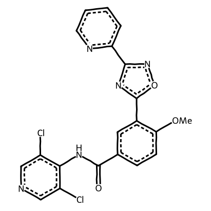 COc1ccc(C(=O)Nc2c(Cl)cncc2Cl)cc1-c1nc(-c2ccccn2)no1